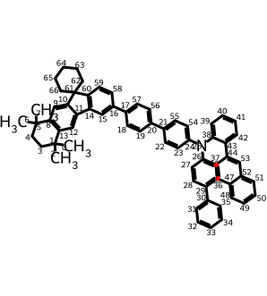 CC1(C)CCC(C)(C)c2cc3c(cc21)-c1cc(-c2ccc(-c4ccc(N(c5ccc(-c6ccccc6)cc5)c5ccccc5-c5ccc6ccccc6c5)cc4)cc2)ccc1C31CCCCC1